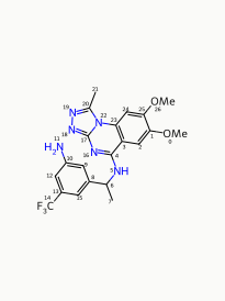 COc1cc2c(NC(C)c3cc(N)cc(C(F)(F)F)c3)nc3nnc(C)n3c2cc1OC